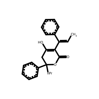 C/C=C(/C1=C(O)CC(CCC)(c2ccccc2)OC1=O)c1ccccc1